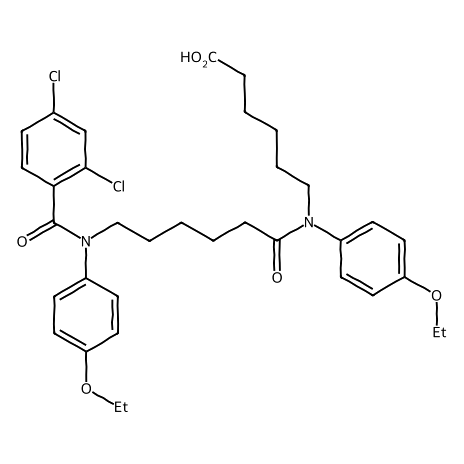 CCOc1ccc(N(CCCCCC(=O)O)C(=O)CCCCCN(C(=O)c2ccc(Cl)cc2Cl)c2ccc(OCC)cc2)cc1